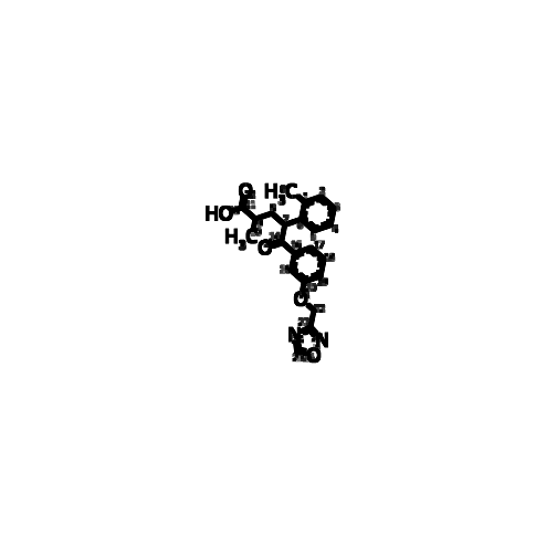 Cc1ccccc1C(CC(C)C(=O)O)C(=O)c1cccc(OCc2ncon2)c1